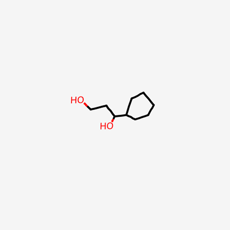 OCCC(O)C1CCCCC1